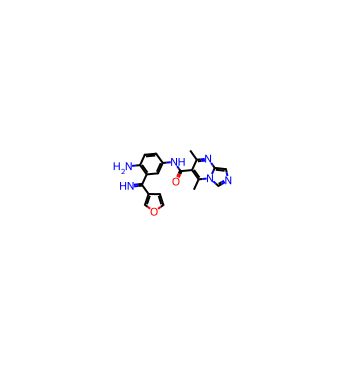 Cc1nc2cncn2c(C)c1C(=O)Nc1ccc(N)c(C(=N)c2ccoc2)c1